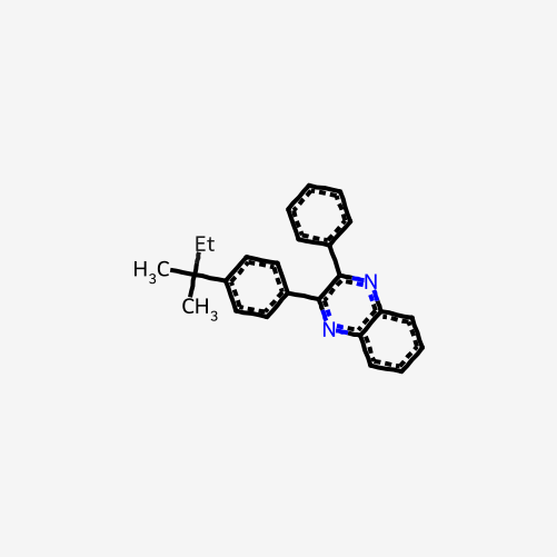 CCC(C)(C)c1ccc(-c2nc3ccccc3nc2-c2ccccc2)cc1